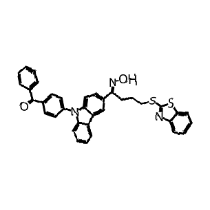 O=C(c1ccccc1)c1ccc(-n2c3ccccc3c3cc(C(CCCSc4nc5ccccc5s4)=NO)ccc32)cc1